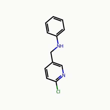 Clc1ccc(CNc2ccccc2)cn1